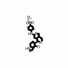 CS(=O)(=O)c1ccc(Nc2cc3c(-c4ccc5[nH]ncc5c4Cl)nccc3cn2)cc1